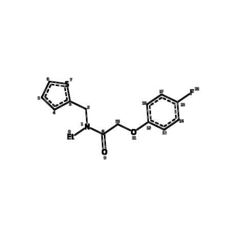 CCN(Cc1cccs1)C(=O)COc1ccc(F)cc1